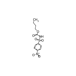 CCCCOC(=O)NS(=O)(=O)c1ccc([N+](=O)[O-])cc1